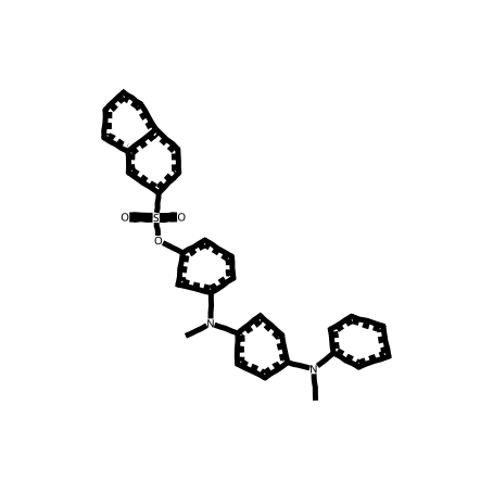 CN(c1ccccc1)c1ccc(N(C)c2cccc(OS(=O)(=O)c3ccc4ccccc4c3)c2)cc1